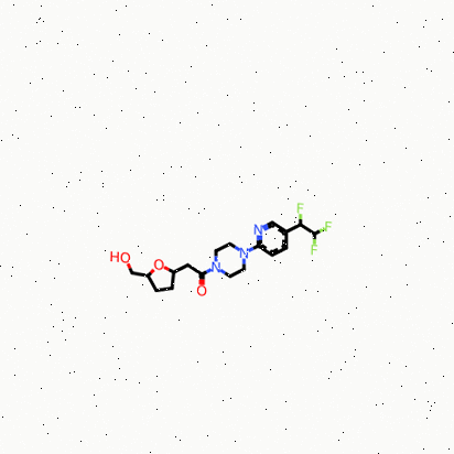 O=C(CC1CCC(CO)O1)N1CCN(c2ccc(C(F)C(F)F)cn2)CC1